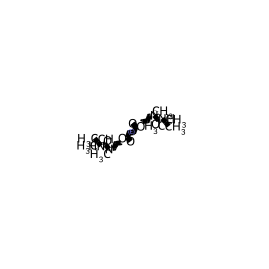 CN(CCCOC(=O)/C=C/C(=O)OCCCN(C)C(=O)NC(C)(C)C)C(=O)NC(C)(C)C